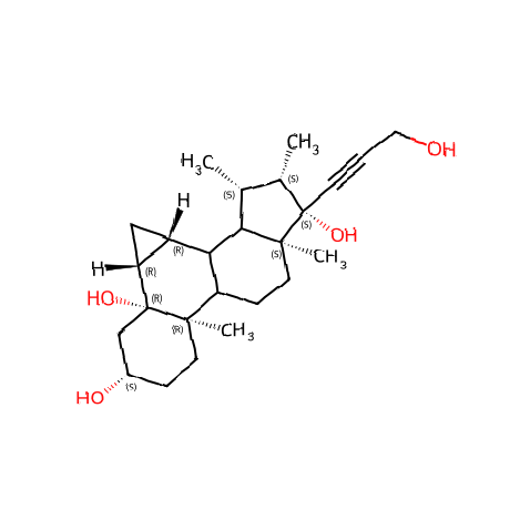 C[C@H]1C2C3C(CC[C@]2(C)[C@](O)(C#CCO)[C@H]1C)[C@@]1(C)CC[C@H](O)C[C@@]1(O)[C@@H]1C[C@H]31